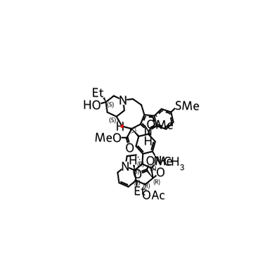 CC[C@]1(O)C[C@H]2CN(CCc3c([nH]c4ccc(SC)cc34)[C@@](C(=O)OC)(C3C=C4C(=CC3OC)N(C)[C@@]35O[C@]3(C(=O)OC)[C@H](OC(C)=O)[C@]3(CC)C=CCN6CC[C@]45[C@@H]63)C2)C1